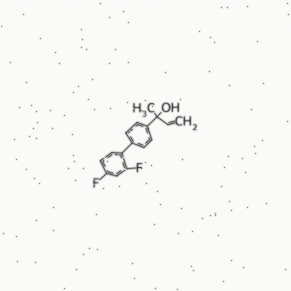 C=CC(C)(O)c1ccc(-c2ccc(F)cc2F)cc1